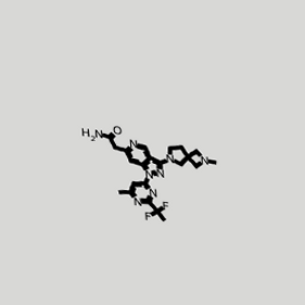 Cc1cc(-n2nc(N3CCC4(CN(C)C4)C3)c3cnc(CC(N)=O)cc32)nc(C(C)(F)F)n1